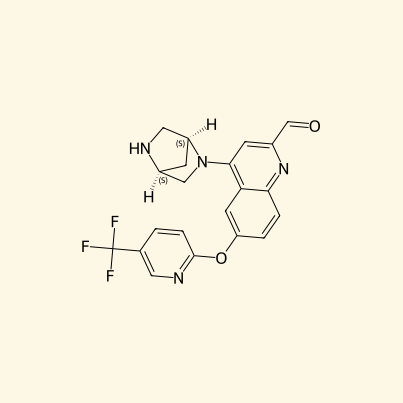 O=Cc1cc(N2C[C@@H]3C[C@H]2CN3)c2cc(Oc3ccc(C(F)(F)F)cn3)ccc2n1